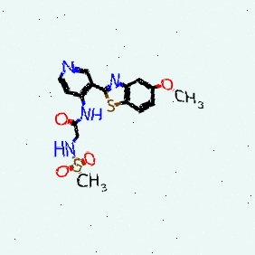 COc1ccc2sc(-c3cnccc3NC(=O)CNS(C)(=O)=O)nc2c1